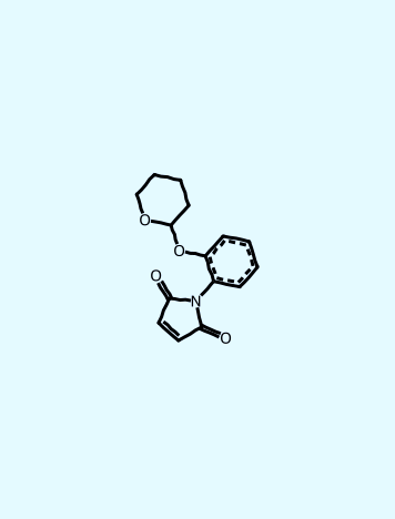 O=C1C=CC(=O)N1c1ccccc1OC1CCCCO1